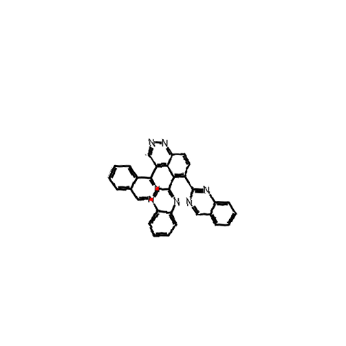 [c]1nnc2ccc(-c3ncc4ccccc4n3)c(-c3cnc4ccccc4n3)c2c1-c1nncc2ccccc12